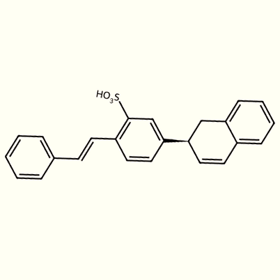 O=S(=O)(O)c1cc([C@@H]2C=Cc3ccccc3C2)ccc1C=Cc1ccccc1